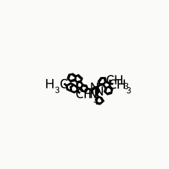 CC1CC2CC(C)C3(c4ccc(-c5nc(-c6ccccc6)nc(-c6cccc7c6-c6ccccc6C7(C)C)n5)cc4-c4ccc5ccccc5c43)C(C1)C2